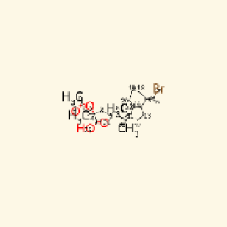 CC(=O)O[C@](C)(CCC[C@@H](C)[C@H]1CCC2/C(=C/Br)CCC[C@@]21C)C(=O)O